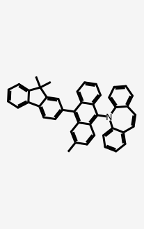 Cc1ccc2c(N3c4ccccc4C=Cc4ccccc43)c3ccccc3c(-c3ccc4c(c3)C(C)(C)c3ccccc3-4)c2c1